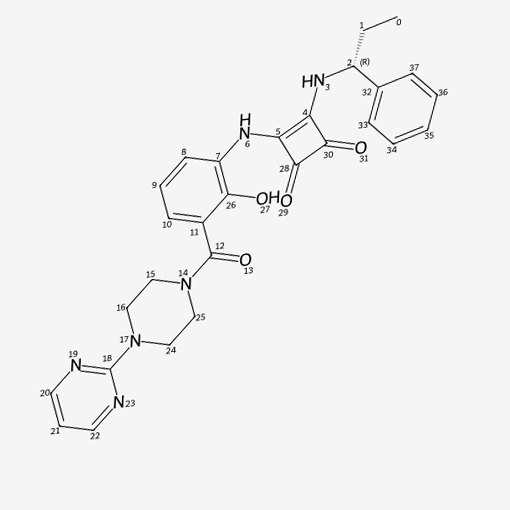 CC[C@@H](Nc1c(Nc2cccc(C(=O)N3CCN(c4ncccn4)CC3)c2O)c(=O)c1=O)c1ccccc1